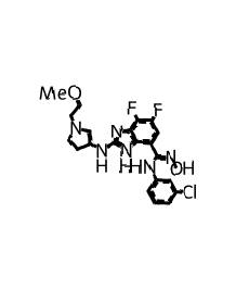 COCCN1CCC(Nc2nc3c(F)c(F)cc(C(=NO)Nc4cccc(Cl)c4)c3[nH]2)C1